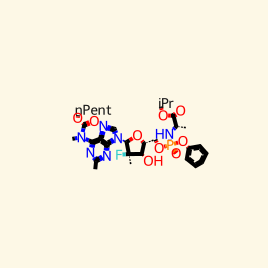 CCCCCOC(=O)N(C)c1nc(C)nc2c1ncn2[C@@H]1O[C@H](COP(=O)(N[C@@H](C)C(=O)OC(C)C)Oc2ccccc2)[C@@H](O)[C@@]1(C)F